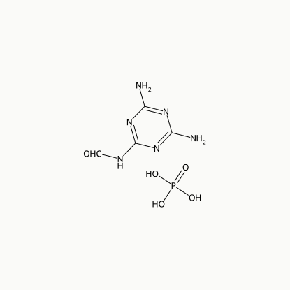 Nc1nc(N)nc(NC=O)n1.O=P(O)(O)O